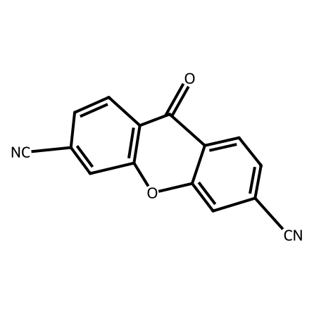 N#Cc1ccc2c(=O)c3ccc(C#N)cc3oc2c1